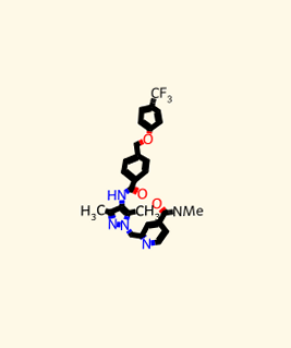 CNC(=O)c1ccnc(Cn2nc(C)c(NC(=O)c3ccc(COc4ccc(C(F)(F)F)cc4)cc3)c2C)c1